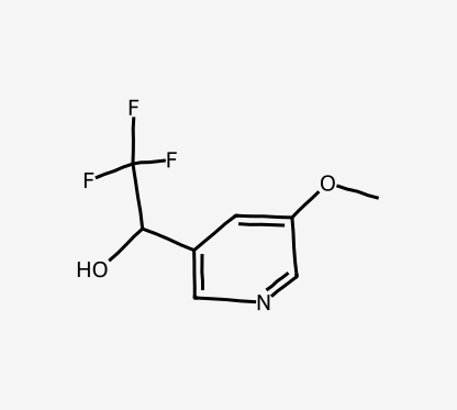 COc1cncc(C(O)C(F)(F)F)c1